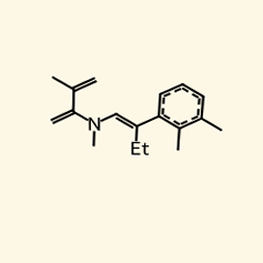 C=C(C)C(=C)N(C)/C=C(\CC)c1cccc(C)c1C